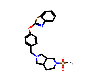 CS(=O)(=O)N1CCC2CN(Cc3ccc(Oc4nc5ccccc5s4)cc3)CC2C1